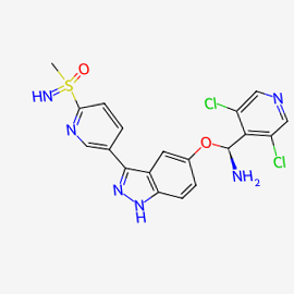 CS(=N)(=O)c1ccc(-c2n[nH]c3ccc(O[C@H](N)c4c(Cl)cncc4Cl)cc23)cn1